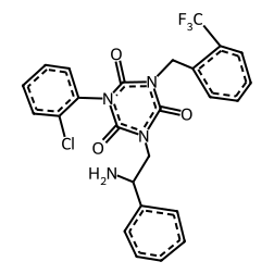 NC(Cn1c(=O)n(Cc2ccccc2C(F)(F)F)c(=O)n(-c2ccccc2Cl)c1=O)c1ccccc1